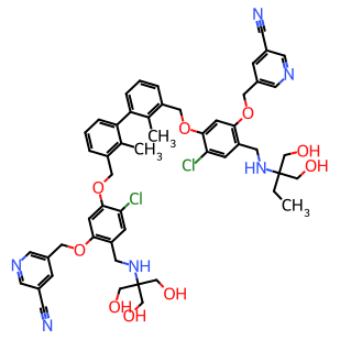 CCC(CO)(CO)NCc1cc(Cl)c(OCc2cccc(-c3cccc(COc4cc(OCc5cncc(C#N)c5)c(CNC(CO)(CO)CO)cc4Cl)c3C)c2C)cc1OCc1cncc(C#N)c1